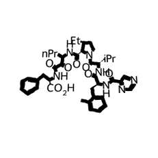 CCCC(NC(=O)[C@@H]1[C@@H](CC)CCN1C(=O)[C@@H](NC(=O)[C@H](Cc1ccccc1C)NC(=O)c1cnccn1)C(C)C)C(=O)C(=O)N[C@@H](Cc1ccccc1)C(=O)O